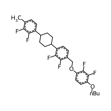 CCCCOc1ccc(OCc2ccc(C3CCC(c4ccc(C)c(F)c4F)CC3)c(F)c2F)c(F)c1F